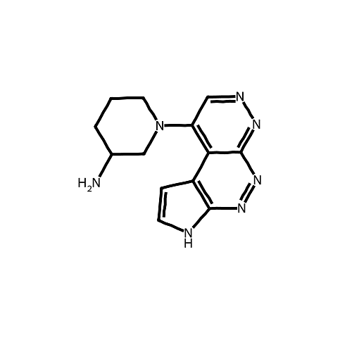 NC1CCCN(c2cnnc3nnc4[nH]ccc4c23)C1